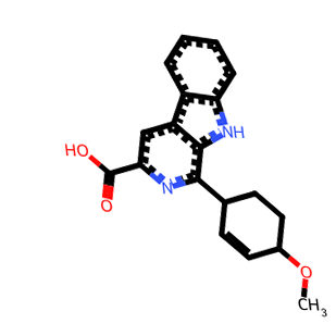 COC1C=CC(c2nc(C(=O)O)cc3c2[nH]c2ccccc23)CC1